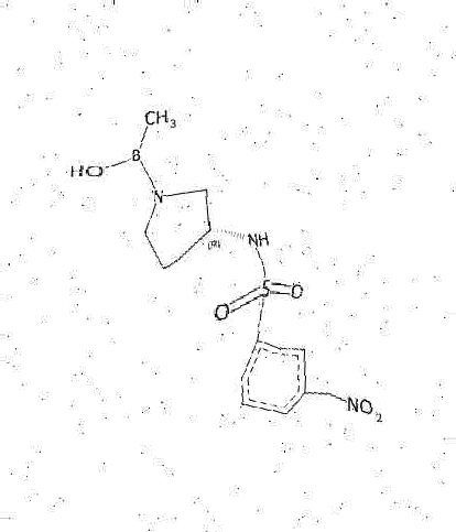 CB(O)N1CC[C@@H](NS(=O)(=O)c2cccc([N+](=O)[O-])c2)C1